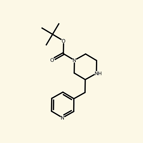 CC(C)(C)OC(=O)N1CCNC(Cc2cccnc2)C1